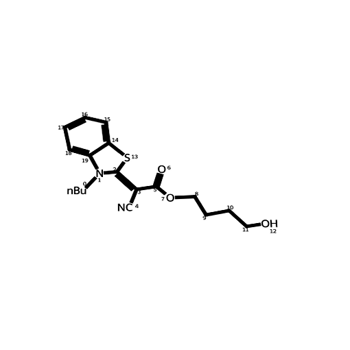 CCCCN1/C(=C(\C#N)C(=O)OCCCCO)Sc2ccccc21